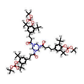 CC(C)(C)OC(=O)Oc1c(C(C)(C)C)cc(CCCC(=O)N2CN(C(=O)CCc3cc(C(C)(C)C)c(OC(=O)OC(C)(C)C)c(C(C)(C)C)c3)CN(C(=O)CCc3cc(C(C)(C)C)c(OC(=O)OC(C)(C)C)c(C(C)(C)C)c3)C2)cc1C(C)(C)C